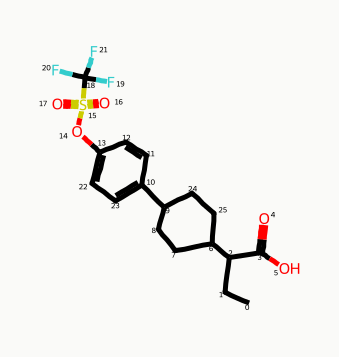 CCC(C(=O)O)C1CCC(c2ccc(OS(=O)(=O)C(F)(F)F)cc2)CC1